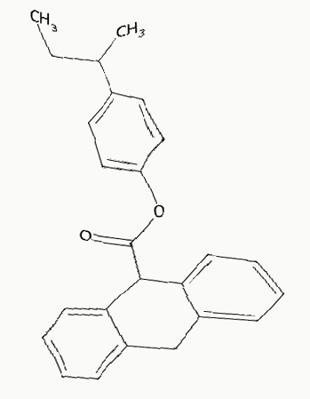 CCC(C)c1ccc(OC(=O)C2c3ccccc3Cc3ccccc32)cc1